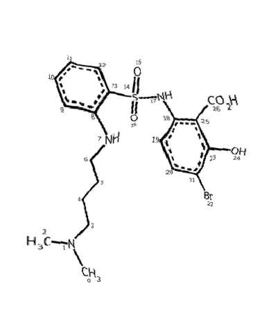 CN(C)CCCCNc1ccccc1S(=O)(=O)Nc1ccc(Br)c(O)c1C(=O)O